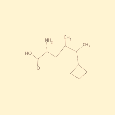 CC(CC(N)C(=O)O)C(C)C1CCC1